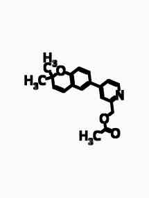 CC(=O)OCc1cc(-c2ccc3c(c2)C=CC(C)(C)O3)ccn1